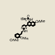 COc1ccc2cc(-c3ccnc(NCCc4cccc(OC)c4OC)n3)cc(NC(=O)OC(C)(C)C)c2c1